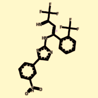 N=C(/C=C(\Nc1ncc(-c2cccc([SH](=O)=O)c2)s1)c1ccccc1C(F)(F)F)C(F)(F)F